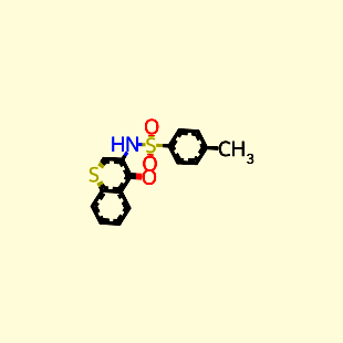 Cc1ccc(S(=O)(=O)Nc2csc3ccccc3c2=O)cc1